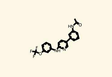 CC(=O)Nc1cccc(-c2ccc(Nc3cccc(OC(F)(F)F)c3)nc2)c1